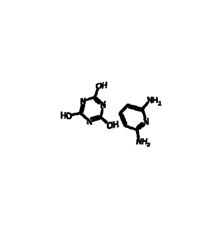 Nc1cccc(N)n1.Oc1nc(O)nc(O)n1